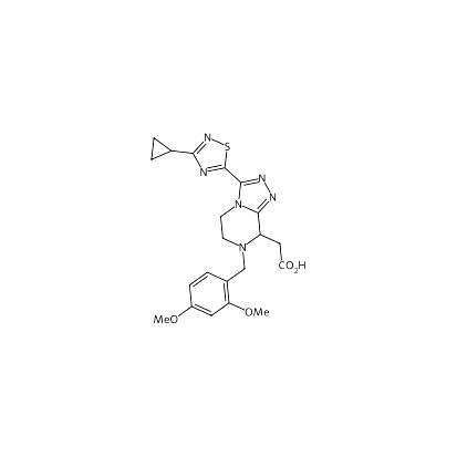 COc1ccc(CN2CCn3c(-c4nc(C5CC5)ns4)nnc3C2CC(=O)O)c(OC)c1